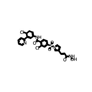 O=C(/C=C/c1ccn(S(=O)(=O)c2ccc(C(=O)NC3=CCC(Cl)C(c4ccccn4)=C3)c(Cl)c2)c1)NO